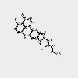 CCOC(=O)Nc1nc2cc(-c3n[nH]c(=O)c4c(F)ccc(F)c34)ccc2[nH]1